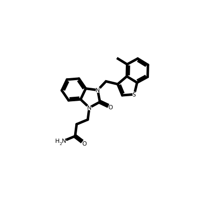 Cc1cccc2scc(Cn3c(=O)n(CCC(N)=O)c4ccccc43)c12